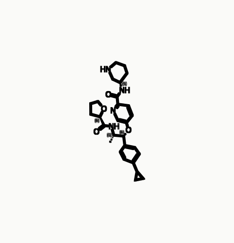 C[C@H](NC(=O)[C@H]1CCCO1)[C@H](Oc1ccc(C(=O)N[C@H]2CCCNC2)nc1)c1ccc(C2CC2)cc1